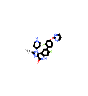 Cc1nc2c(=O)[nH]c3cc(F)c(-c4ccc(Oc5ncccn5)cc4F)cc3c2n1C1CCNCC1